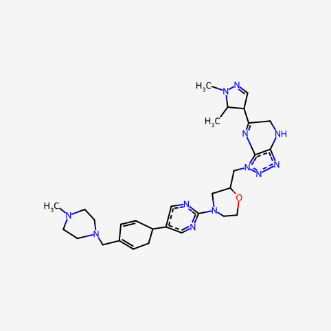 CC1C(C2=Nc3c(nnn3CC3CN(c4ncc(C5C=CC(CN6CCN(C)CC6)=CC5)cn4)CCO3)NC2)C=NN1C